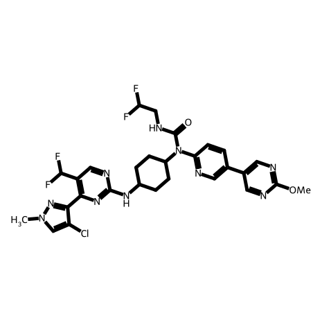 COc1ncc(-c2ccc(N(C(=O)NCC(F)F)C3CCC(Nc4ncc(C(F)F)c(-c5nn(C)cc5Cl)n4)CC3)nc2)cn1